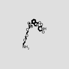 NCCOCCOCCOCCS(=O)(=O)c1cccc2c1CN(C1CCC(=O)NC1=O)C2=O